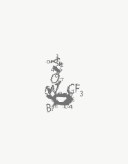 C[Si](C)(C)CCOCn1ncc2c(Br)ccc(C(F)(F)F)c21